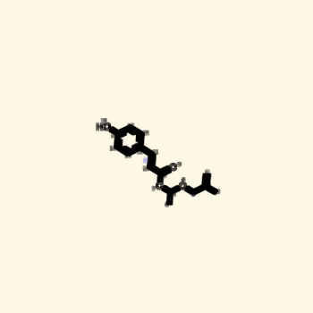 C=C(C)COC(C)OC(=O)/C=C/c1ccc(O)cc1